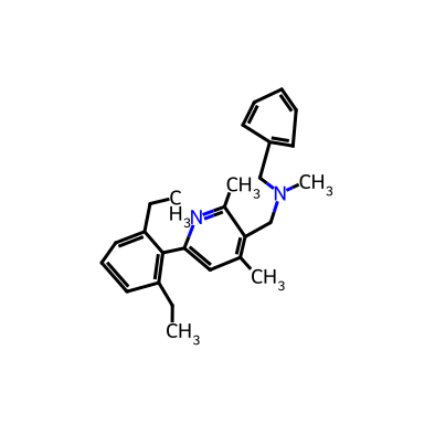 CCc1cccc(CC)c1-c1cc(C)c(CN(C)Cc2ccccc2)c(C)n1